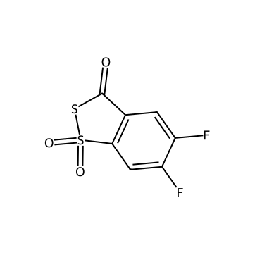 O=C1SS(=O)(=O)c2cc(F)c(F)cc21